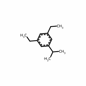 [CH2]C(C)c1cc(CC)cc(CC)c1